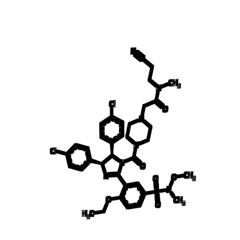 CCOc1ccc(S(=O)(=O)N(C)OC)cc1C1=N[C@@H](c2ccc(Cl)cc2)[C@@H](c2ccc(Cl)cc2)N1C(=O)N1CCN(CC(=O)N(C)CCC#N)CC1